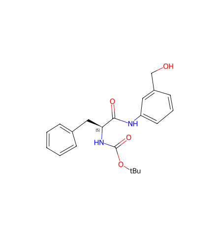 CC(C)(C)OC(=O)N[C@@H](Cc1ccccc1)C(=O)Nc1cccc(CO)c1